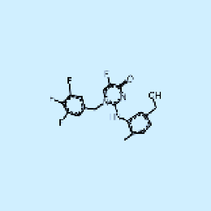 Cc1ccc(CO)cc1Nc1nc(=O)c(F)cn1Cc1cc(F)c(F)c(F)c1